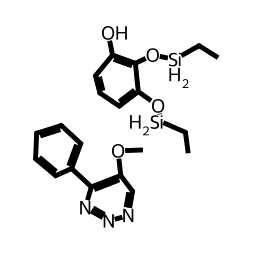 CC[SiH2]Oc1cccc(O)c1O[SiH2]CC.COc1cnnnc1-c1ccccc1